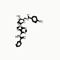 O=C(Nc1ncnc2c1ncn2[C@H]1C[C@H](O)[C@@H](COC(=O)c2ccc([N+](=O)[O-])cc2)O1)c1ccccc1